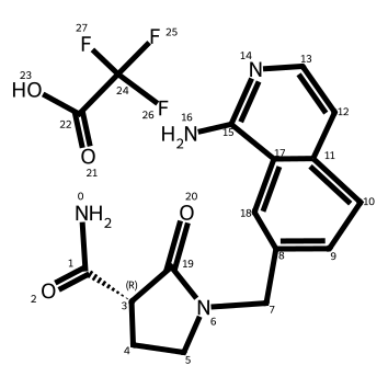 NC(=O)[C@H]1CCN(Cc2ccc3ccnc(N)c3c2)C1=O.O=C(O)C(F)(F)F